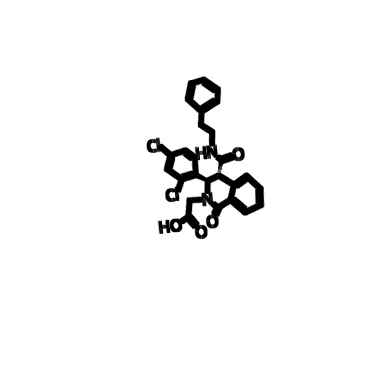 O=C(O)CN1C(=O)c2ccccc2[C@@H](C(=O)NCCc2ccccc2)[C@@H]1c1ccc(Cl)cc1Cl